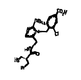 CCCCc1ncc(CNC(=O)[C@@H](CS)CC(C)C)n1Cc1ccc(C(=O)O)cc1Cl